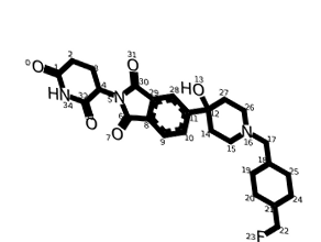 O=C1CCC(N2C(=O)c3ccc(C4(O)CCN(CC5CCC(CF)CC5)CC4)cc3C2=O)C(=O)N1